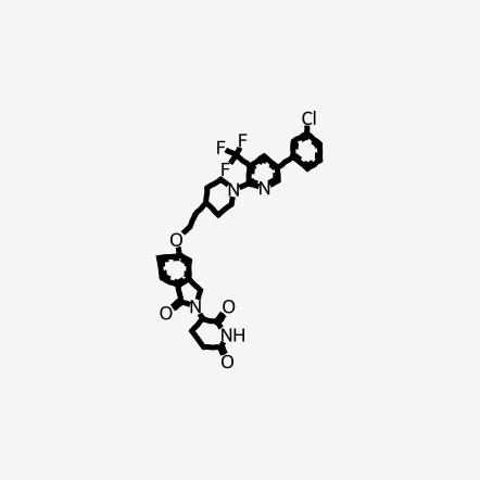 O=C1CCC(N2Cc3cc(OCCC4CCN(c5ncc(-c6cccc(Cl)c6)cc5C(F)(F)F)CC4)ccc3C2=O)C(=O)N1